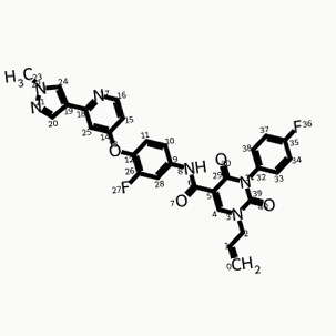 C=CCn1cc(C(=O)Nc2ccc(Oc3ccnc(-c4cnn(C)c4)c3)c(F)c2)c(=O)n(-c2ccc(F)cc2)c1=O